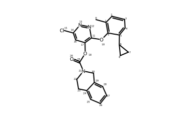 Cc1cccc(C2CC2)c1Oc1nnc(Cl)cc1OC(=O)N1CCc2ccccc2C1